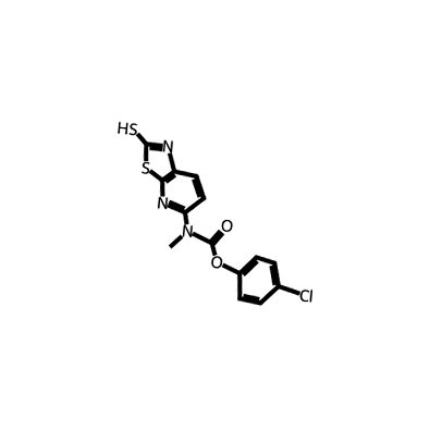 CN(C(=O)Oc1ccc(Cl)cc1)c1ccc2nc(S)sc2n1